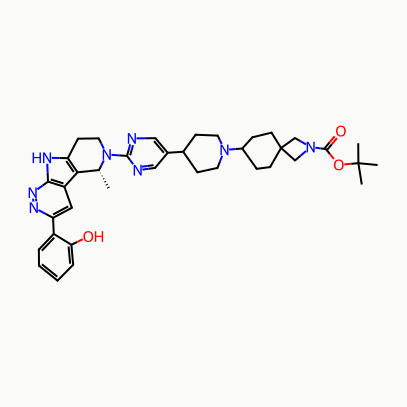 C[C@@H]1c2c([nH]c3nnc(-c4ccccc4O)cc23)CCN1c1ncc(C2CCN(C3CCC4(CC3)CN(C(=O)OC(C)(C)C)C4)CC2)cn1